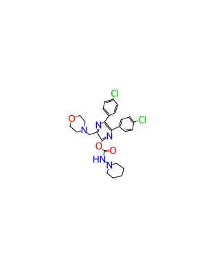 O=C(NN1CCCCC1)Oc1nc(-c2ccc(Cl)cc2)c(-c2ccc(Cl)cc2)nc1CN1CCOCC1